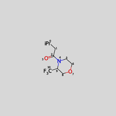 CC(C)CC(=O)N1CCOCC1C(F)(F)F